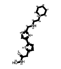 O=C(Cc1ccc(-c2csc(CNCCN3CCCCC3)n2)s1)NO